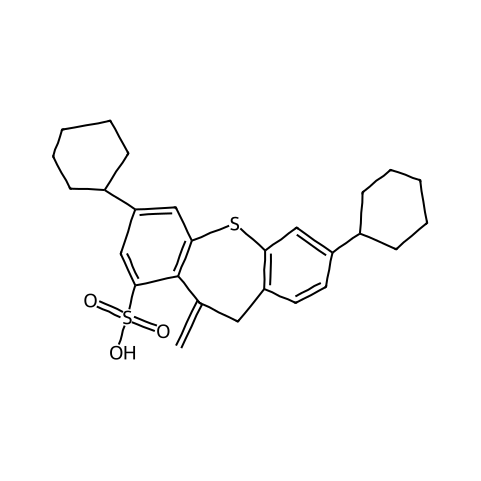 C=C1Cc2ccc(C3CCCCC3)cc2Sc2cc(C3CCCCC3)cc(S(=O)(=O)O)c21